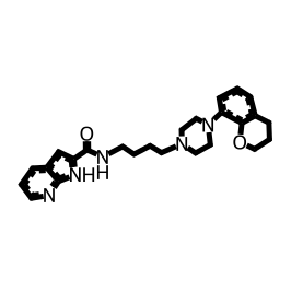 O=C(NCCCCN1CCN(c2cccc3c2OCCC3)CC1)c1cc2cccnc2[nH]1